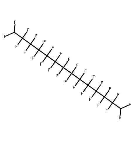 FC(F)C(F)(F)C(F)(F)C(F)(F)C(F)(F)C(F)(F)C(F)(F)C(F)(F)C(F)(F)C(F)(F)C(F)(F)C(F)(F)C(F)(F)C(F)F